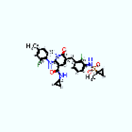 Cc1ccc(Nc2c(C(=O)NC3CC3)cc(Cc3cccc(NS(=O)(=O)C4(C)CC4)c3F)c(=O)n2C)c(F)c1